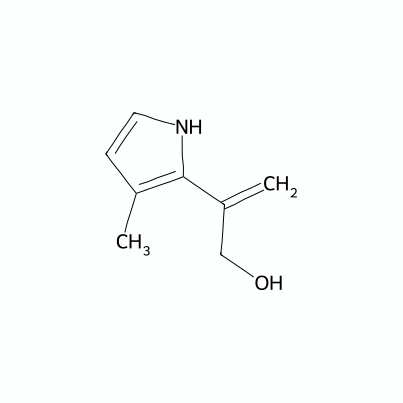 C=C(CO)c1[nH]ccc1C